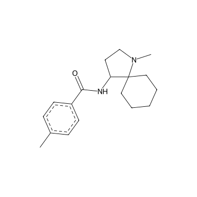 Cc1ccc(C(=O)NC2CCN(C)C23CCCCC3)cc1